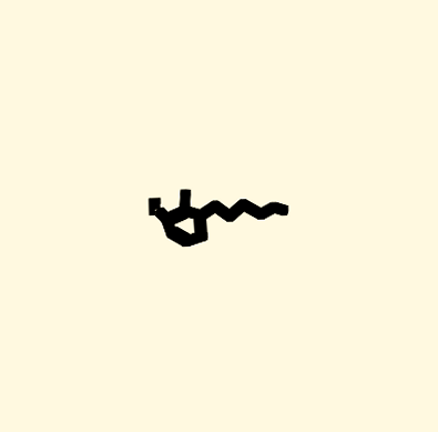 CCCCCCc1cccc(F)c1C